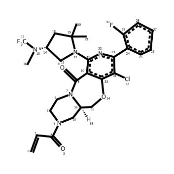 C=CC(=O)N1CCN2C(=O)c3c(N4C[C@H](N(C)C(F)(F)F)CC4(C)C)nc(-c4ccccc4F)c(Cl)c3OC[C@H]2C1